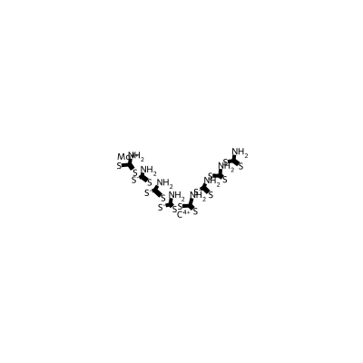 NC(=S)[S-].NC(=S)[S-].NC(=S)[S-].NC(=S)[S-].NC(=S)[S-].NC(=S)[S-].NC(=S)[S-].NC(=S)[S-].[C+4].[Mo+4]